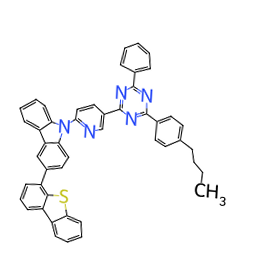 CCCCc1ccc(-c2nc(-c3ccccc3)nc(-c3ccc(-n4c5ccccc5c5cc(-c6cccc7c6sc6ccccc67)ccc54)nc3)n2)cc1